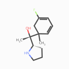 CC1([C@@](C)(O)[C@@H]2CCCN2)C=CC=C(F)C1